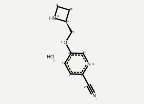 Cl.N#Cc1ccc(OC[C@@H]2CCN2)cn1